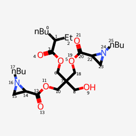 CCCCC(CC)C(=O)OCC(CO)(COC(=O)C1CN1CCCC)COC(=O)C1CN1CCCC